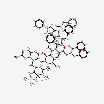 CC(=O)O[C@H]1C(C)O[C@H](C)[C@H](O[C@@H]2OC(C)[C@H](O[C@@H]3OC[C@@H](C)C(O[C@@H]4OC[C@]5(COCc6ccccc6)O[C@@H](c6ccccc6)OC45)[C@H]3OCc3ccccc3)C(O[C@@H]3OC(COCc4ccccc4)[C@@H](OCc4ccccc4)C(OCc4ccccc4)[C@H]3C)[C@@H]2C)C1O[C@@H]1OC(C)[C@H](C)[C@@H]2OC(C)(C)OC12